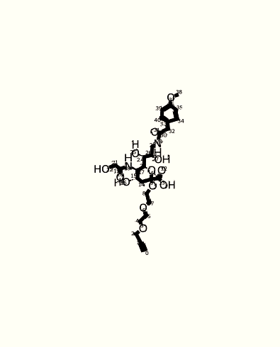 C#CCOCCOCCO[C@]1(C(=O)O)C[C@H](O)[C@@H](NC(=O)CO)[C@H]([C@H](O)[C@H](O)CNC(=O)Cc2ccc(OC)cc2)O1